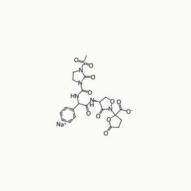 CS(=O)(=O)N1CCN(C(=O)NC(C(=O)N[C@H]2CON(C3(C(=O)[O-])CCC(=O)O3)C2=O)c2ccccc2)C1=O.[Na+]